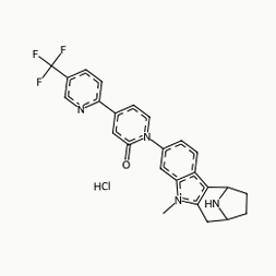 Cl.Cn1c2c(c3ccc(-n4ccc(-c5ccc(C(F)(F)F)cn5)cc4=O)cc31)C1CCC(C2)N1